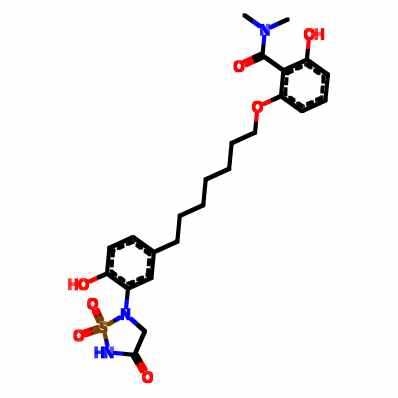 CN(C)C(=O)c1c(O)cccc1OCCCCCCCc1ccc(O)c(N2CC(=O)NS2(=O)=O)c1